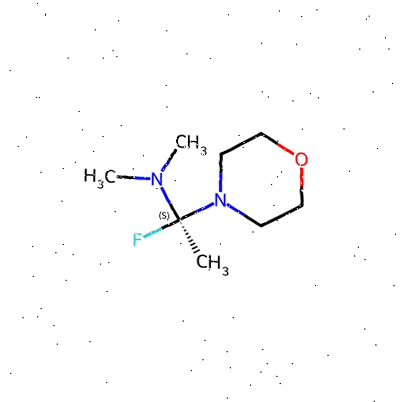 CN(C)[C@](C)(F)N1CCOCC1